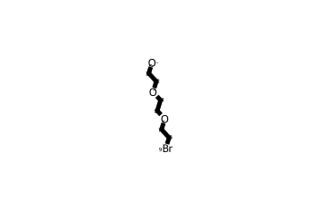 [O]CCOCCOCCBr